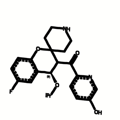 CC(C)O[C@H]1c2cc(F)ccc2OC2(CCNCC2)C1C(=O)c1ccc(O)cn1